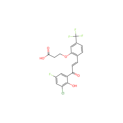 O=C(O)CCOc1cc(C(F)(F)F)ccc1/C=C/C(=O)c1cc(F)cc(Cl)c1O